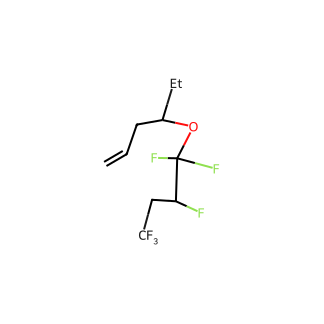 C=CCC(CC)OC(F)(F)C(F)CC(F)(F)F